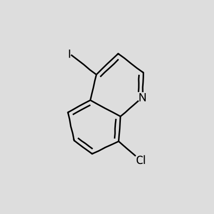 Clc1cccc2c(I)ccnc12